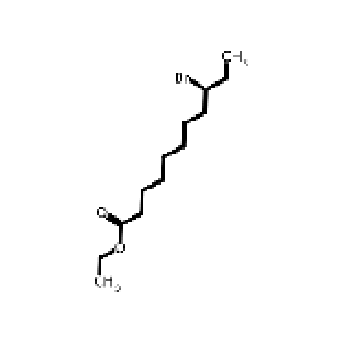 CCOC(=O)CCCCCCCC(Br)CC